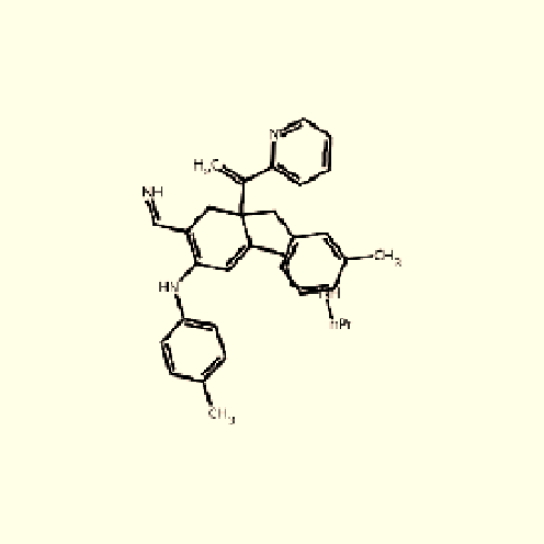 C=C(c1ccccn1)C1(Cc2cccc(C)c2)CC(C=N)=C(Nc2ccc(C)cc2)C=C1CCNCCC